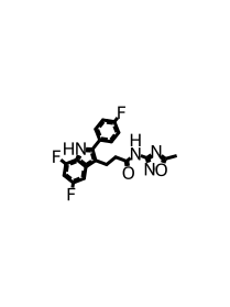 Cc1nc(NC(=O)CCc2c(-c3ccc(F)cc3)[nH]c3c(F)cc(F)cc23)no1